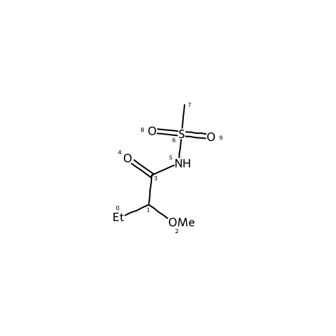 CCC(OC)C(=O)NS(C)(=O)=O